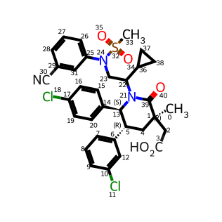 C[C@]1(CC(=O)O)C[C@H](c2cccc(Cl)c2)[C@@H](c2ccc(Cl)cc2)N(C(CN(c2cccc(C#N)c2)S(C)(=O)=O)C2CC2)C1=O